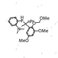 CCCC(C)(Pc1ccccc1N(C)C)c1cc(OC)cc(OC)c1OCOC